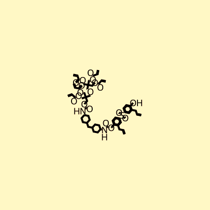 C=CCc1cc(S(=O)(=O)c2ccc(OC(=O)NC3CCC(CC4CCC(NC(=O)OCC(COCC(COC(=O)C=C)(COC(=O)C=C)COC(=O)C=C)(COC(=O)C=C)COC(=O)C=C)CC4)CC3)c(CC=C)c2)ccc1O